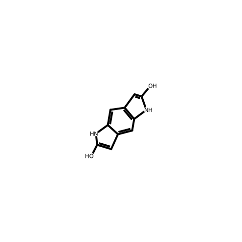 Oc1cc2cc3[nH]c(O)cc3cc2[nH]1